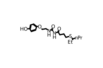 CCCC(CC)SCCCC(=O)NC(=O)NCCOc1ccc(O)cc1